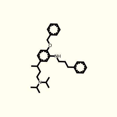 CC(CCN(C(C)C)C(C)C)c1ccc(OCc2ccccc2)c(NCCCc2ccccc2)c1